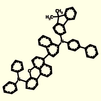 CC1(C)c2ccccc2-c2cc(N(c3ccc(-c4ccccc4)cc3)c3ccc(-c4ccc5c6c(cccc46)-c4cccc(N(c6ccccc6)c6ccccc6)c4O5)c4ccccc34)ccc21